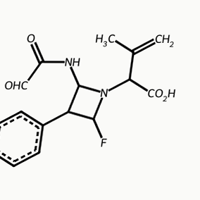 C=C(C)C(C(=O)O)N1C(F)C(c2ccccc2)C1NC(=O)C=O